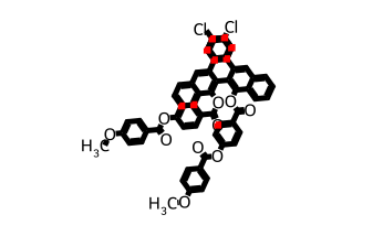 COc1ccc(C(=O)Oc2ccc(C(=O)Oc3c(-c4c(-c5ccc(Cl)cc5)cc5ccccc5c4OC(=O)c4ccc(OC(=O)c5ccc(OC)cc5)cc4)c(-c4ccc(Cl)cc4)cc4ccccc34)cc2)cc1